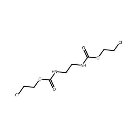 O=C(NCCNC(=O)OCCCl)OCCCl